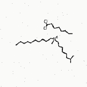 CCCCCCCC(=O)[O-].CCCCCCCCCC[N+](C)(C)CCCCCCC(C)C